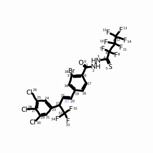 O=C(NNC(=S)C(F)(F)C(F)(F)C(F)(F)F)c1ccc(/C=C/C(c2cc(Cl)c(Cl)c(Cl)c2)C(F)(F)F)cc1Br